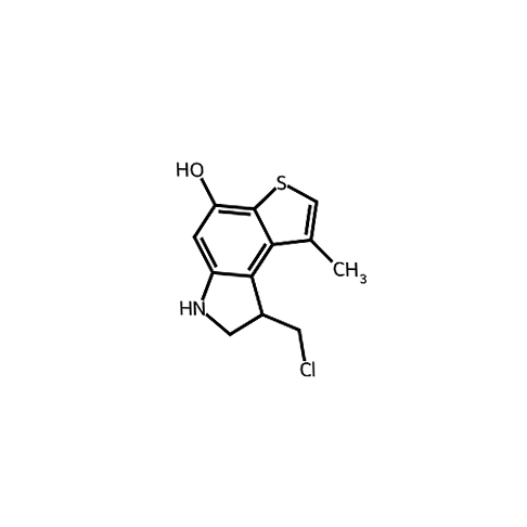 Cc1csc2c(O)cc3c(c12)C(CCl)CN3